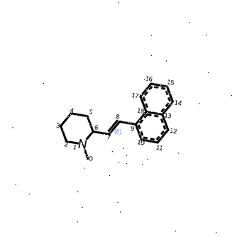 CN1CCCCC1/C=C/c1cccc2ccccc12